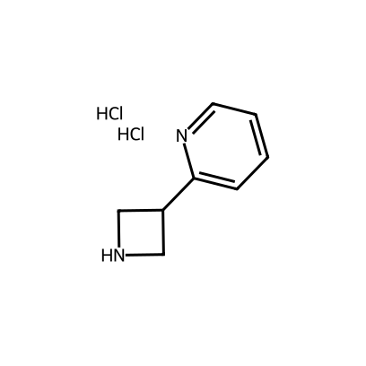 Cl.Cl.c1ccc(C2CNC2)nc1